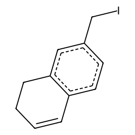 ICc1ccc2c(c1)CCC=C2